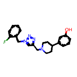 Oc1cccc(C2CCN(Cc3cn(Cc4ccccc4F)nn3)CC2)c1